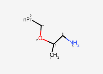 CCCCOC(C)CN